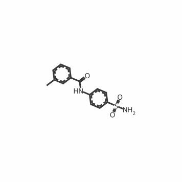 Cc1cccc(C(=O)Nc2ccc(S(N)(=O)=O)cc2)c1